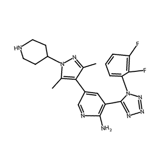 Cc1nn(C2CCNCC2)c(C)c1-c1cnc(N)c(-c2nnnn2-c2cccc(F)c2F)c1